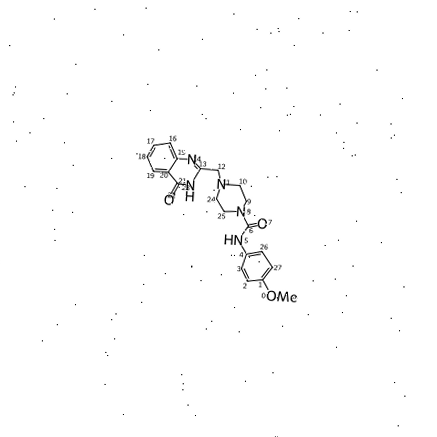 COc1ccc(NC(=O)N2CCN(Cc3nc4ccccc4c(=O)[nH]3)CC2)cc1